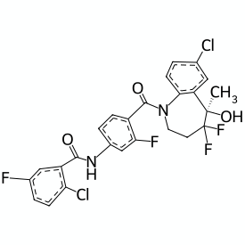 C[C@@]1(O)c2cc(Cl)ccc2N(C(=O)c2ccc(NC(=O)c3cc(F)ccc3Cl)cc2F)CCC1(F)F